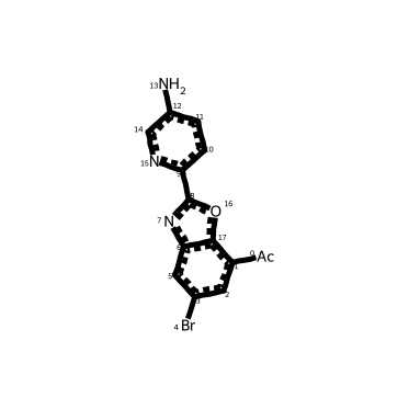 CC(=O)c1cc(Br)cc2nc(-c3ccc(N)cn3)oc12